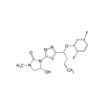 C=CCC(Oc1cc(F)ccc1F)c1nnc(N2C(=O)N(C)CC2O)s1